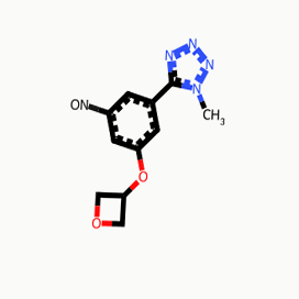 Cn1nnnc1-c1cc(N=O)cc(OC2COC2)c1